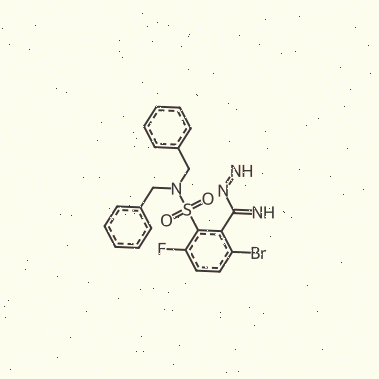 N=NC(=N)c1c(Br)ccc(F)c1S(=O)(=O)N(Cc1ccccc1)Cc1ccccc1